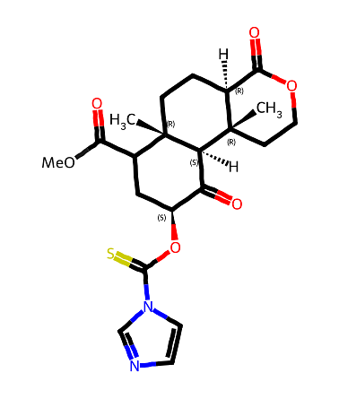 COC(=O)C1C[C@H](OC(=S)n2ccnc2)C(=O)[C@@H]2[C@@]3(C)CCOC(=O)[C@@H]3CC[C@@]12C